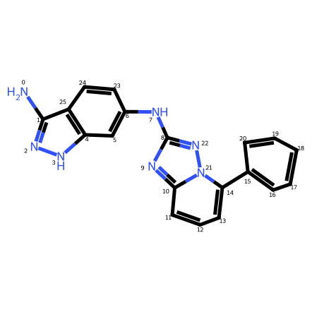 Nc1n[nH]c2cc(Nc3nc4cccc(-c5ccccc5)n4n3)ccc12